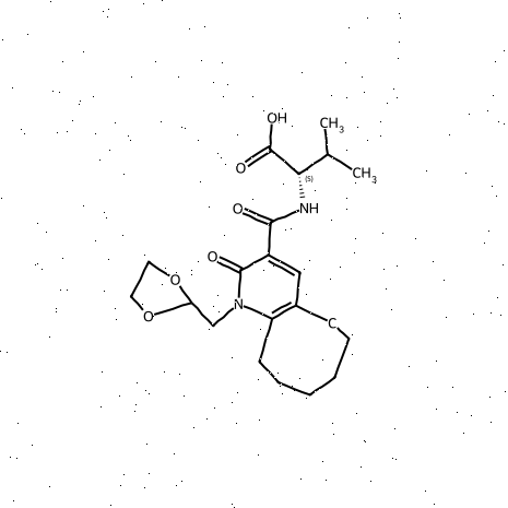 CC(C)[C@H](NC(=O)c1cc2c(n(CC3OCCO3)c1=O)CCCCCC2)C(=O)O